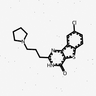 O=c1[nH]c(CCCN2CCCC2)nc2c1sc1ccc(Cl)cc12